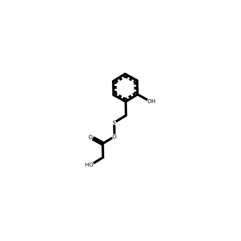 O=C(CO)OSCc1ccccc1O